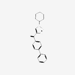 O=C(c1ccc(-c2ccccc2)cc1)c1cn(C2CCCCC2)nn1